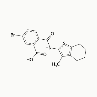 Cc1c(NC(=O)c2ccc(Br)cc2C(=O)O)sc2c1CCCC2